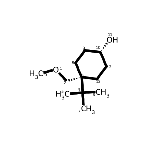 COC[C@]1(C(C)(C)C)CC[C@H](O)CC1